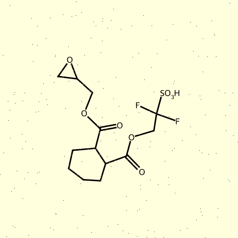 O=C(OCC1CO1)C1CCCCC1C(=O)OCC(F)(F)S(=O)(=O)O